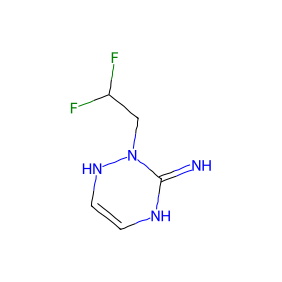 N=C1NC=CNN1CC(F)F